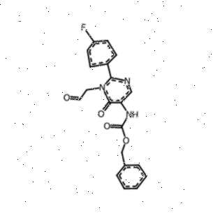 O=CCn1c(-c2ccc(F)cc2)ncc(NC(=O)OCc2ccccc2)c1=O